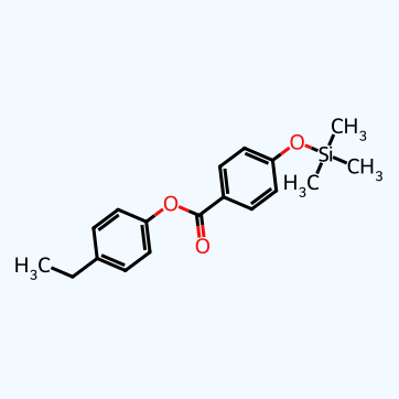 CCc1ccc(OC(=O)c2ccc(O[Si](C)(C)C)cc2)cc1